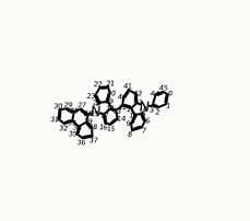 c1ccc(-n2c3ccccc3c3c(-c4cccc5c4c4ccccc4n5-c4cc5ccccc5c5ccccc45)cccc32)cc1